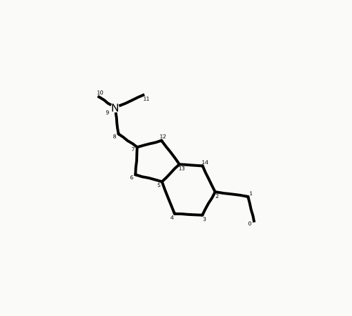 CCC1CCC2CC(CN(C)C)CC2C1